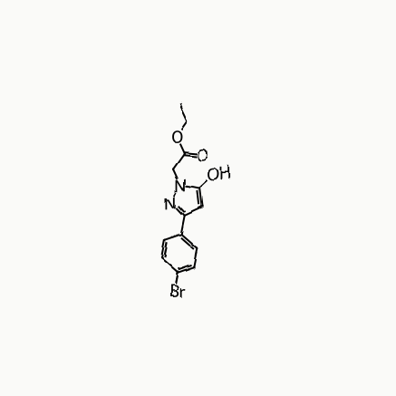 CCOC(=O)Cn1nc(-c2ccc(Br)cc2)cc1O